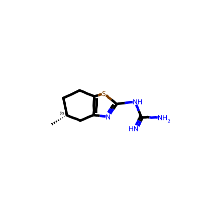 C[C@@H]1CCc2sc(NC(=N)N)nc2C1